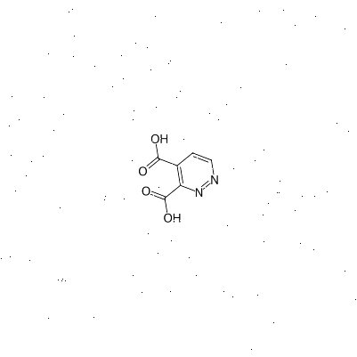 O=C(O)c1ccnnc1C(=O)O